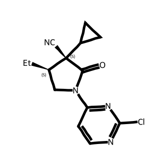 CC[C@@H]1CN(c2ccnc(Cl)n2)C(=O)[C@@]1(C#N)C1CC1